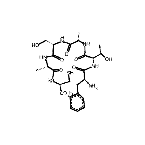 C[C@H](NC(=O)[C@H](CO)NC(=O)[C@H](C)NC(=O)[C@@H](NC(=O)[C@@H](N)Cc1ccccc1)[C@@H](C)O)C(=O)N[C@@H](CS)C(=O)O